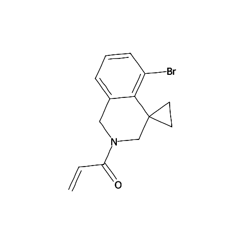 C=CC(=O)N1Cc2cccc(Br)c2C2(CC2)C1